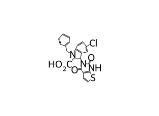 O=C(O)C1C(n2c(=O)[nH]c3sccc3c2=O)c2cc(Cl)ccc2N1Cc1ccccc1